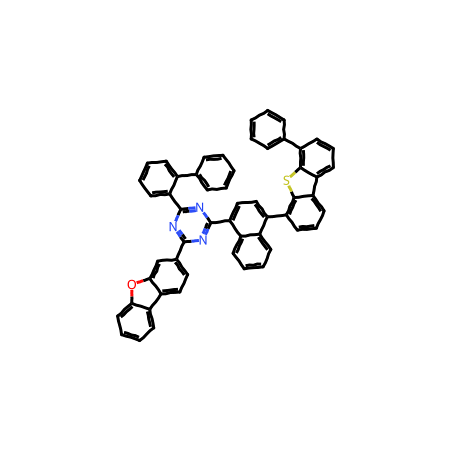 c1ccc(-c2ccccc2-c2nc(-c3ccc4c(c3)oc3ccccc34)nc(-c3ccc(-c4cccc5c4sc4c(-c6ccccc6)cccc45)c4ccccc34)n2)cc1